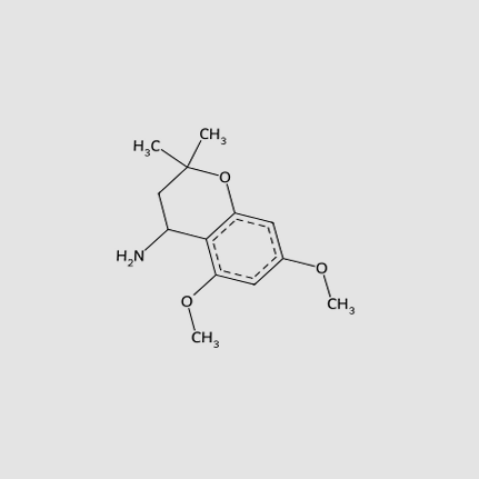 COc1cc(OC)c2c(c1)OC(C)(C)CC2N